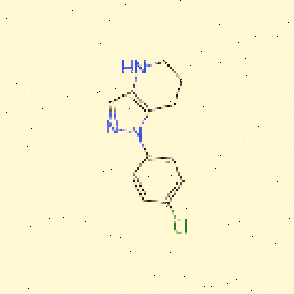 Clc1ccc(-n2ncc3c2CCCN3)cc1